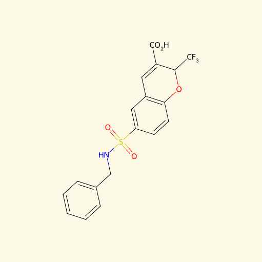 O=C(O)C1=Cc2cc(S(=O)(=O)NCc3ccccc3)ccc2OC1C(F)(F)F